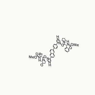 COC(=O)NC(C(=O)N1CC(=O)C[C@H]1c1nc(-c2ccc3cc(-c4ccc(-c5c[nH]c([C@@H]6CCCN6C(=O)[C@H](NC(=O)OC)c6ccccc6)n5)cc4)ccc3c2)c[nH]1)C(C)C